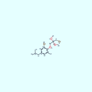 COC(CBr)(COc1c(C)cc(CC(C)C)cc1Br)OC